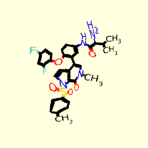 Cc1ccc(S(=O)(=O)n2ccc3c(-c4cc(NC(=O)[C@@H](N)C(C)C)ccc4Oc4ccc(F)cc4F)cn(C)c(=O)c32)cc1